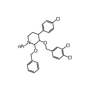 CCCN1CCC(c2ccc(Cl)cc2)C(OCc2ccc(Cl)c(Cl)c2)C1OCc1ccccc1